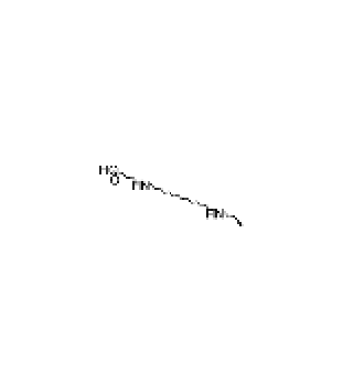 C#CCCCNCCCCCCCCCCCCCCCNCCCCCC(=O)O